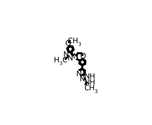 CCNc1nc2ncc(-c3ccc4c(c3)CN(c3nc(C)nc5cc(OC)ccc35)CCO4)cc2[nH]1